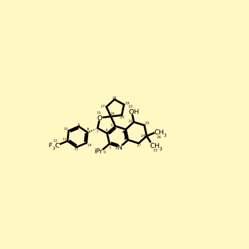 CC(C)c1nc2c(c3c1[C@H](c1ccc(C(F)(F)F)cc1)OC31CCCC1)C(O)CC(C)(C)C2